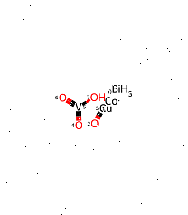 [BiH3].[Co].[O]=[Cu].[O]=[V](=[O])[OH]